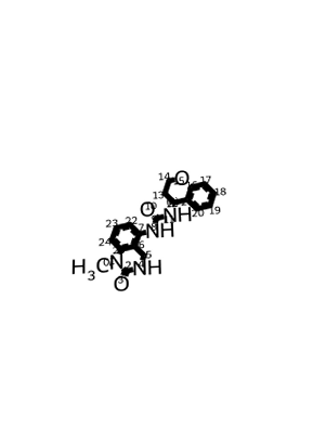 CN1C(=O)NCc2c(NC(=O)N[C@@H]3CCOc4ccccc43)cccc21